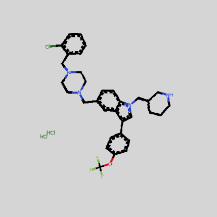 Cl.Cl.FC(F)(F)Oc1ccc(-c2cn(CC3CCCNC3)c3ccc(CN4CCN(Cc5ccccc5Cl)CC4)cc23)cc1